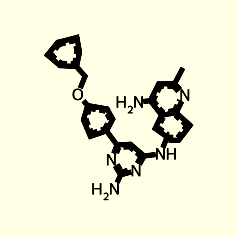 Cc1cc(N)c2cc(Nc3cc(-c4ccc(OCc5ccccc5)cc4)nc(N)n3)ccc2n1